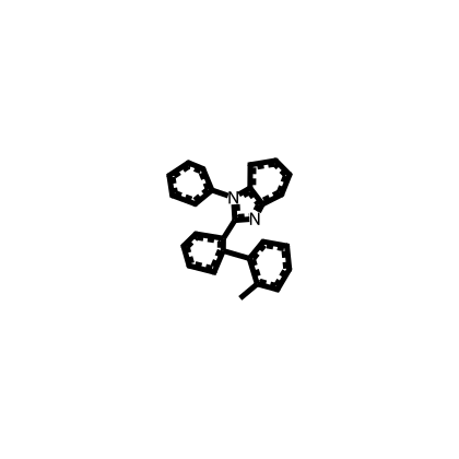 Cc1ccccc1-c1ccccc1-c1nc2ccccc2n1-c1ccccc1